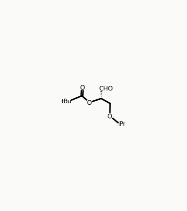 CC(C)OC[C@@H](C=O)OC(=O)C(C)(C)C